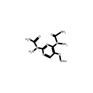 CCCCCCOc1cnc(N(N)C(N)=O)nc1N(N)C(N)=O